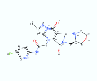 CCc1cc2n(CC(=O)Nc3ccc(F)cn3)c3c(c(=O)n2n1)CN(C[C@@H]1COCCN1)C3=O